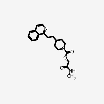 CNC(=O)COC(=O)N1CCC(CCc2nccc3ccccc23)CC1